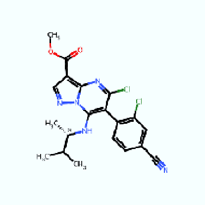 COC(=O)c1cnn2c(N[C@@H](C)C(C)C)c(-c3ccc(C#N)cc3Cl)c(Cl)nc12